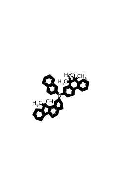 CC1(C)c2ccccc2-c2ccc3ccc(N(c4ccc5c(c4)C(C)(C)C(C)(C)c4ccccc4-5)c4ccc5ccccc5c4)cc3c21